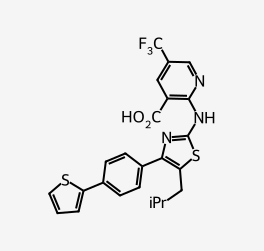 CC(C)Cc1sc(Nc2ncc(C(F)(F)F)cc2C(=O)O)nc1-c1ccc(-c2cccs2)cc1